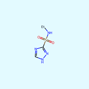 CCNS(=O)(=O)c1nc[nH]n1